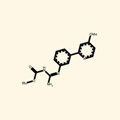 COc1ccnc(-c2cccc(N=C(N)NC(=O)OC(C)(C)C)c2)c1